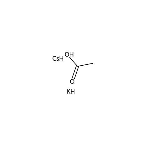 CC(=O)O.[CsH].[KH]